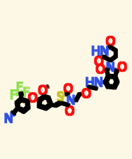 COc1cc(C=C2SC(=O)N(CCOCCNc3cccc4c3C(=O)N(C3CCC(=O)NC3=O)C4=O)C2=O)ccc1Oc1ccc(C#N)cc1C(F)(F)F